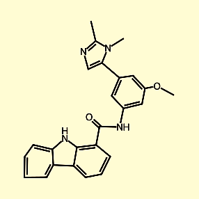 COc1cc(NC(=O)c2cccc3c2[nH]c2ccccc23)cc(-c2cnc(C)n2C)c1